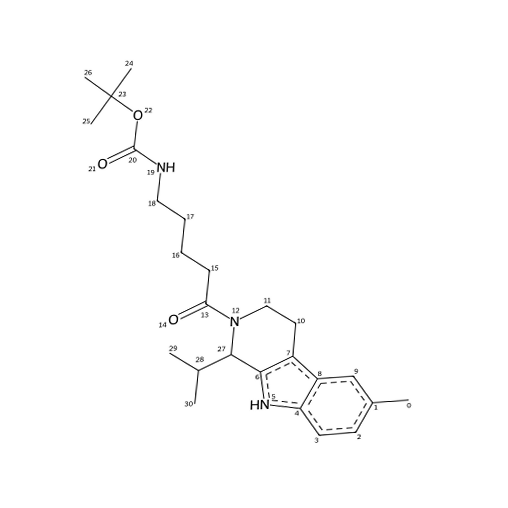 Cc1ccc2[nH]c3c(c2c1)CCN(C(=O)CCCCNC(=O)OC(C)(C)C)C3C(C)C